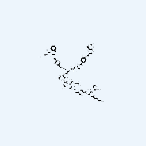 C=B[C@H](CC(C)C)NC(=O)[C@H](Cc1ccccc1)NC(=O)c1cnc(CSSC[C@H](NC(=O)CC[C@H](NC(=O)c2ccc(NCc3cnc4nc(N)[nH]c(=O)c4n3)cc2)C(=O)O)C(=O)N[C@@H](CC(=O)O)C(=O)N[C@@H](CC(=O)O)C(=O)N[C@@H](CC(=O)O)C(=O)N[C@@H](CSSCc2cnc(C(=O)N[C@@H](C/C=C/CCC=C)C(=O)N[C@H](B=O)CC(C)C)cn2)C(=O)O)cn1